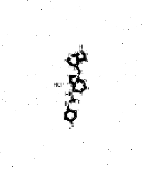 Cl.O=C(Nc1ccc(F)cc1)Nc1cccc2c1ccn2Cc1ccnc2[nH]ccc12